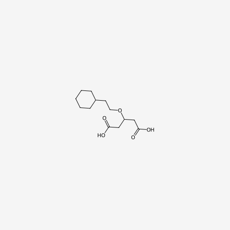 O=C(O)CC(CC(=O)O)OCCC1CCCCC1